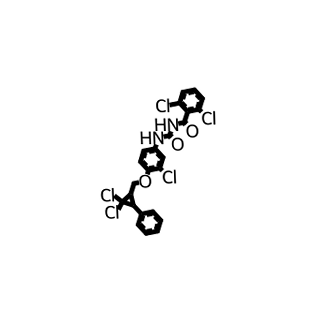 O=C(NC(=O)c1c(Cl)cccc1Cl)Nc1ccc(OCC2C(c3ccccc3)C2(Cl)Cl)c(Cl)c1